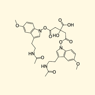 COc1ccc2c(c1)c(CCNC(C)=O)cn2OC(=O)CC(O)(CC(=O)On1cc(CCNC(C)=O)c2cc(OC)ccc21)C(=O)O